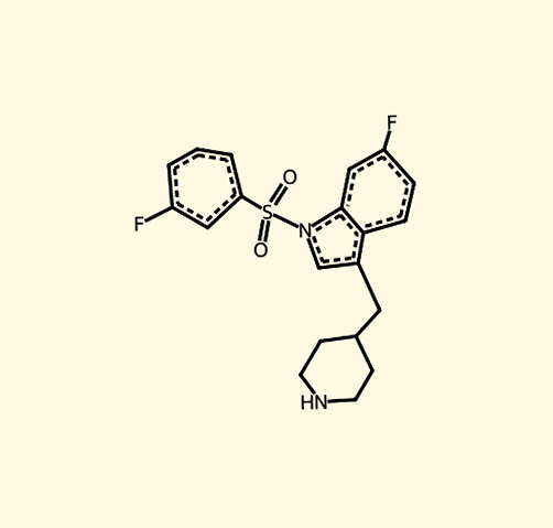 O=S(=O)(c1cccc(F)c1)n1cc(CC2CCNCC2)c2ccc(F)cc21